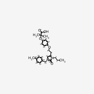 CCCn1c(CCOc2ccc(OC(C)(C)C(=O)O)cc2)cn(Cc2ccc(C)cc2)c1=O